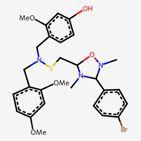 COc1ccc(CN(Cc2ccc(O)cc2OC)SCC2ON(C)C(c3ccc(Br)cc3)N2C)c(OC)c1